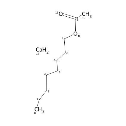 CCCCCCCCOC(C)=O.[CaH2]